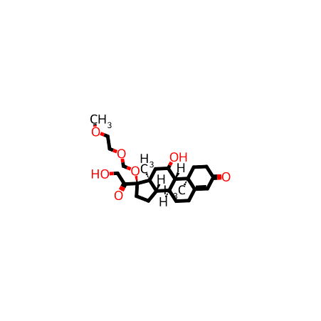 COCCOCO[C@]1(C(=O)CO)CC[C@H]2[C@@H]3CCC4=CC(=O)CC[C@]4(C)[C@H]3C(O)C[C@@]21C